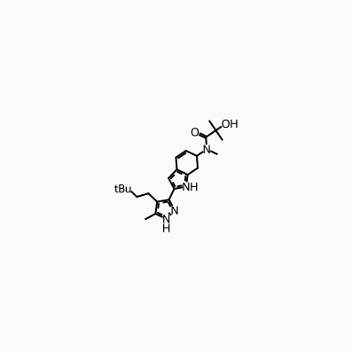 Cc1[nH]nc(-c2cc3c([nH]2)CC(N(C)C(=O)C(C)(C)O)C=C3)c1CCC(C)(C)C